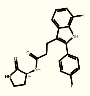 O=C(CCc1c(-c2ccc(F)cc2)[nH]c2c(F)cccc12)N[C@H]1CCNC1=O